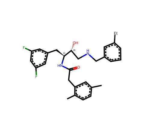 CCc1cccc(CNC[C@@H](O)[C@H](Cc2cc(F)cc(F)c2)NC(=O)Cc2cc(C)ccc2C)c1